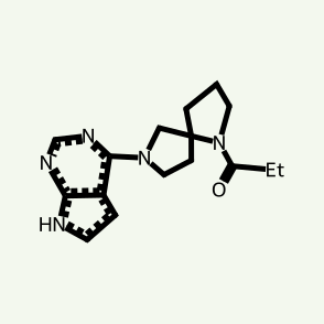 CCC(=O)N1CCCC12CCN(c1ncnc3[nH]ccc13)C2